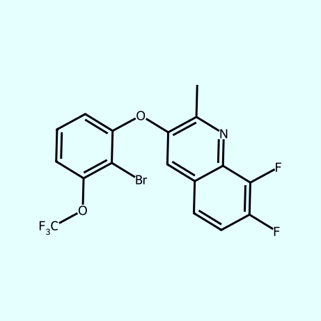 Cc1nc2c(F)c(F)ccc2cc1Oc1cccc(OC(F)(F)F)c1Br